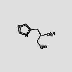 O=CCC(Cc1cocn1)C(=O)O